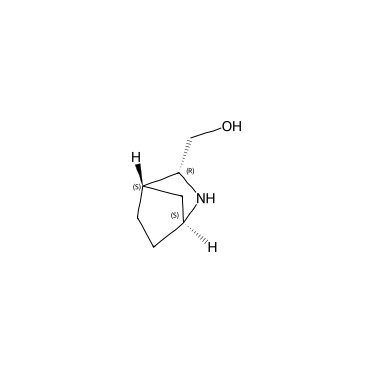 OC[C@@H]1N[C@H]2CC[C@H]1C2